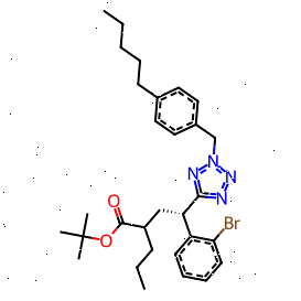 CCCCCc1ccc(Cn2nnc([C@@H](CC(CCC)C(=O)OC(C)(C)C)c3ccccc3Br)n2)cc1